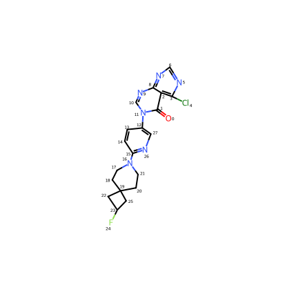 O=c1c2c(Cl)ncnc2ncn1-c1ccc(N2CCC3(CC2)CC(F)C3)nc1